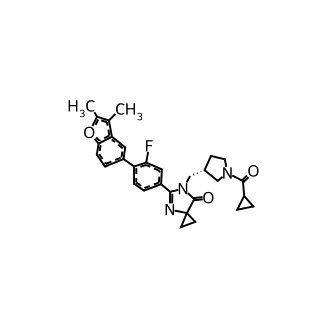 Cc1oc2ccc(-c3ccc(C4=NC5(CC5)C(=O)N4C[C@@H]4CCN(C(=O)C5CC5)C4)cc3F)cc2c1C